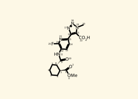 COC(=O)[C@H]1CCCC[C@@H]1C(=O)Nc1ccc(-c2nnn(C)c2C(=O)O)nc1F